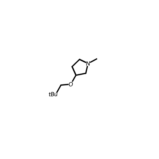 CN1CCC(OCC(C)(C)C)C1